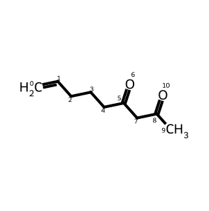 C=CCCCC(=O)CC(C)=O